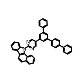 c1ccc(-c2ccc(-c3cc(-c4ccccc4)cc(-c4cnc(-n5c6ccccc6c6ccc7ccccc7c65)nc4)c3)cc2)cc1